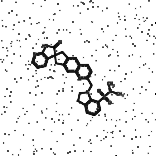 CN(C)S(=O)(=O)c1cccc2c1N(Cc1ccc3cc4c(cc3n1)CC1(C4)C(=O)Nc3ncccc31)CC2